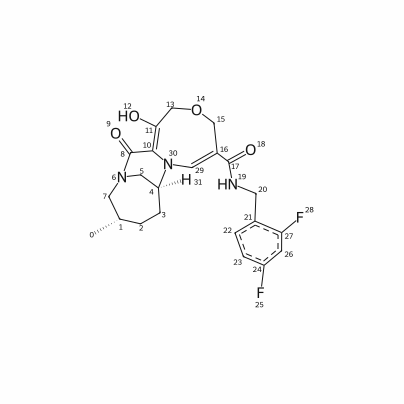 C[C@H]1CC[C@H]2CN(C1)C(=O)/C1=C(\O)COC/C(C(=O)NCc3ccc(F)cc3F)=C\N12